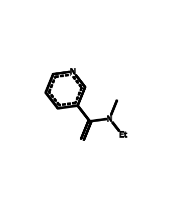 C=C(c1cccnc1)N(C)CC